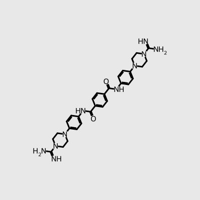 N=C(N)N1CCN(c2ccc(NC(=O)c3ccc(C(=O)Nc4ccc(N5CCN(C(=N)N)CC5)cc4)cc3)cc2)CC1